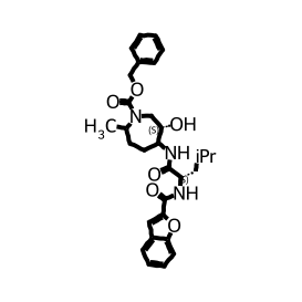 CC(C)C[C@H](NC(=O)c1cc2ccccc2o1)C(=O)NC1CCC(C)N(C(=O)OCc2ccccc2)C[C@@H]1O